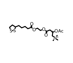 CC(=O)O[C@H](CC(=O)OCCOC(=O)CCCCC1CCSS1)C[N+](C)(C)C